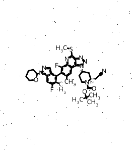 CSc1nc2c(F)c(-c3c(C)c(F)cc4c3cnn4C3CCCCO3)c(C)cc2c2c1nnn2[C@H]1CCN(C(=O)OC(C)(C)C)[C@H](CC#N)C1